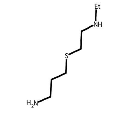 CCNCCSCCCN